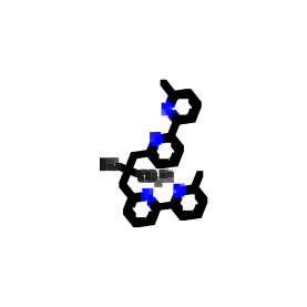 CCOC(=O)C(C#N)(Cc1cccc(-c2cccc(C)n2)n1)Cc1cccc(-c2cccc(C)n2)n1